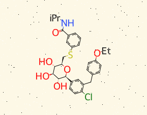 CCOc1ccc(Cc2cc([C@@H]3O[C@H](CSc4cccc(C(=O)NC(C)C)c4)[C@@H](O)[C@H](O)[C@H]3O)ccc2Cl)cc1